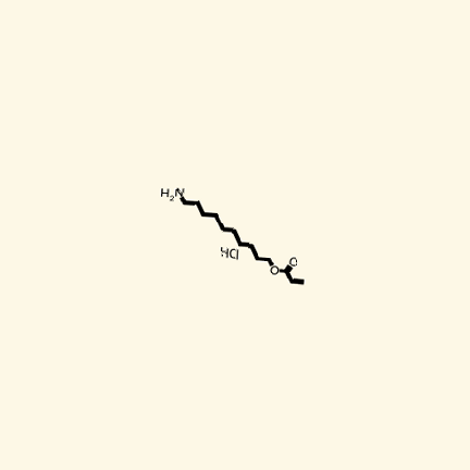 C=CC(=O)OCCCCCCCCCCN.Cl